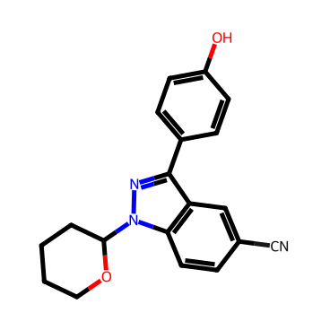 N#Cc1ccc2c(c1)c(-c1ccc(O)cc1)nn2C1CCCCO1